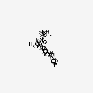 CS(=O)(=O)C(C(=O)NCCS(N)(=O)=O)c1nc2ccc(-c3cnn(-c4ccc(F)cc4)c3)cc2s1